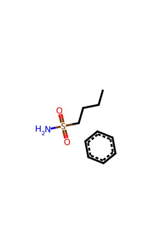 CCCCS(N)(=O)=O.c1ccccc1